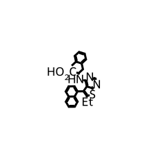 CCc1sc2ncnc(NC(Cc3ccccc3C)C(=O)O)c2c1-c1cccc2ccccc12